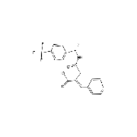 C[C@H](NC(=O)C/C(=C\c1ccccc1)C(=O)O)c1ccc(C(F)(F)F)cc1